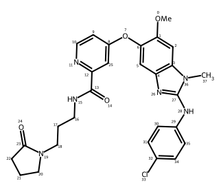 COc1cc2c(cc1Oc1ccnc(C(=O)NCCCN3CCCC3=O)c1)nc(Nc1ccc(Cl)cc1)n2C